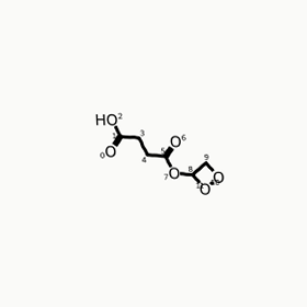 O=C(O)CCC(=O)OC1COO1